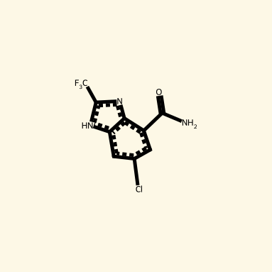 NC(=O)c1cc(Cl)cc2[nH]c(C(F)(F)F)nc12